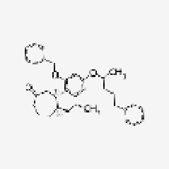 C=CC[C@H]1CCCC(=O)C[C@@H]1c1ccc(OC(C)CCCc2ccccc2)cc1OCc1ccccc1